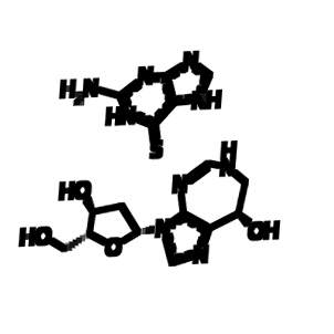 Nc1nc2nc[nH]c2c(=S)[nH]1.OC[C@H]1O[C@@H](n2cnc3c2N=CNC[C@H]3O)C[C@@H]1O